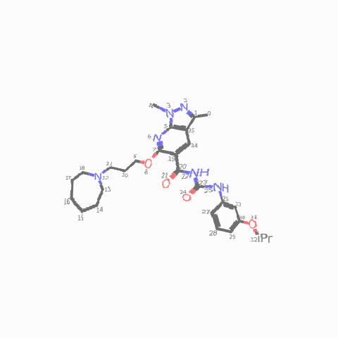 Cc1nn(C)c2nc(OCCCN3CCCCCC3)c(C(=O)NC(=O)Nc3cccc(OC(C)C)c3)cc12